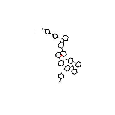 C=Cc1ccc(Oc2ccc(C3(c4ccccc4)c4ccccc4-c4ccc(N(c5ccc(-c6ccc7c(c6)c6ccccc6n7-c6ccc(-c7ccc(C=C)cc7)cc6)cc5)c5ccccc5-c5ccccc5)cc43)cc2)cc1